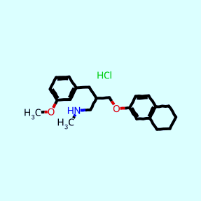 CNCC(COc1ccc2c(c1)CCCC2)Cc1cccc(OC)c1.Cl